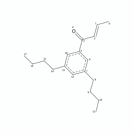 C/C=C/C(=O)c1cc(CCCC)cc(CCCC)c1